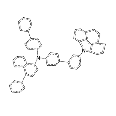 c1ccc(-c2ccc(N(c3ccc(-c4cccc(-n5c6cccc7ccc8cccc5c8c76)c4)cc3)c3ccc(-c4ccccc4)c4ccccc34)cc2)cc1